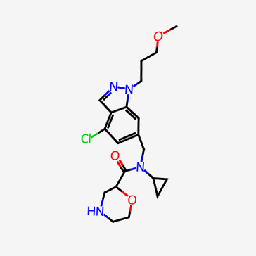 COCCCn1ncc2c(Cl)cc(CN(C(=O)C3CNCCO3)C3CC3)cc21